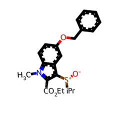 CCOC(=O)c1c([S+]([O-])C(C)C)c2cc(OCc3ccccc3)ccc2n1C